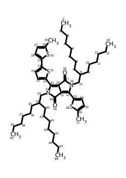 CCCCCCCCC(CCCCCC)CN1C(=O)C2=C(c3ccc(-c4ccc(C)s4)s3)N(CC(CCCCCC)CCCCCCCC)C(=O)C2=C1c1ccc(C)s1